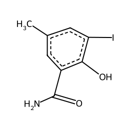 Cc1cc(I)c(O)c(C(N)=O)c1